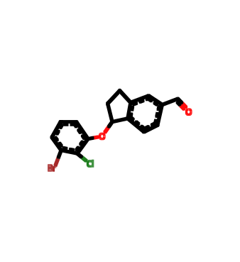 O=Cc1ccc2c(c1)CCC2Oc1cccc(Br)c1Cl